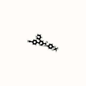 N#Cc1ccc(-c2ncc(C(=O)Nc3ccc(OC(F)(F)Cl)cc3)cc2-c2cccnc2)cc1